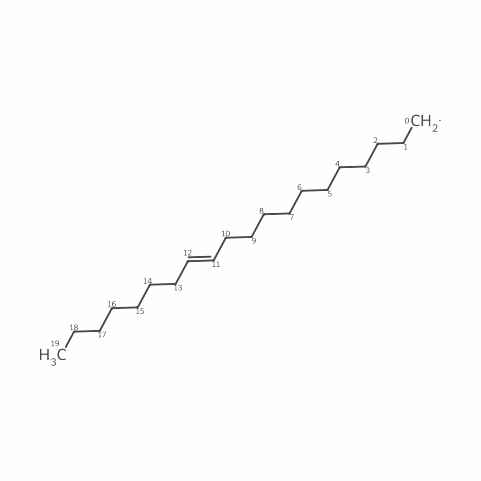 [CH2]CCCCCCCCCCC=CCCCCCCC